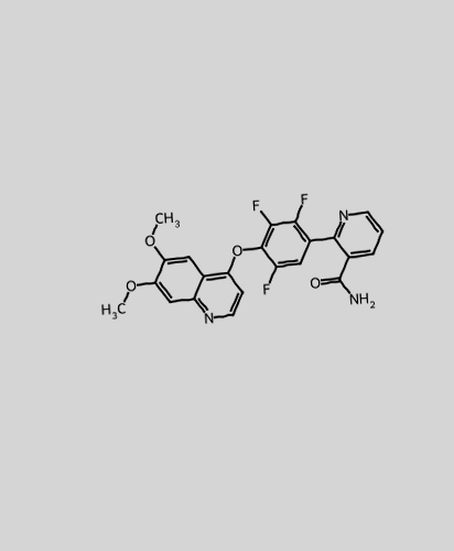 COc1cc2nccc(Oc3c(F)cc(-c4ncccc4C(N)=O)c(F)c3F)c2cc1OC